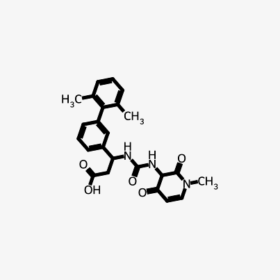 Cc1cccc(C)c1-c1cccc(C(CC(=O)O)NC(=O)NC2C(=O)C=CN(C)C2=O)c1